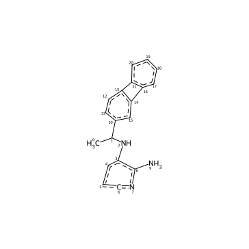 CC(Nc1cccnc1N)c1ccc2c(c1)-c1ccccc1-2